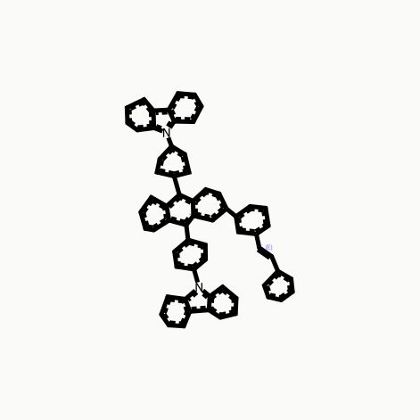 C(=C\c1cccc(-c2ccc3c(-c4ccc(-n5c6ccccc6c6ccccc65)cc4)c4ccccc4c(-c4ccc(-n5c6ccccc6c6ccccc65)cc4)c3c2)c1)/c1ccccc1